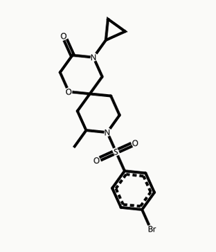 CC1CC2(CCN1S(=O)(=O)c1ccc(Br)cc1)CN(C1CC1)C(=O)CO2